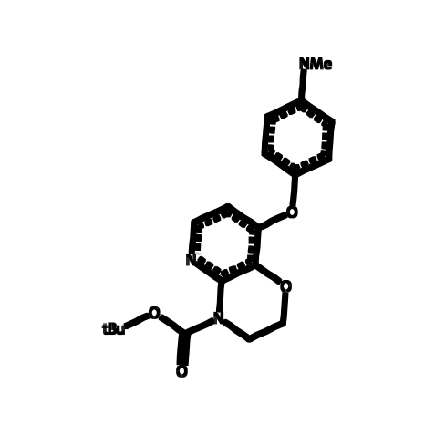 CNc1ccc(Oc2ccnc3c2OCCN3C(=O)OC(C)(C)C)cc1